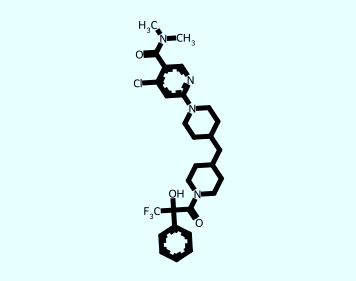 CN(C)C(=O)c1cnc(N2CCC(CC3CCN(C(=O)C(O)(c4ccccc4)C(F)(F)F)CC3)CC2)cc1Cl